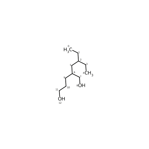 CCC(CC)CC(CO)CCCO